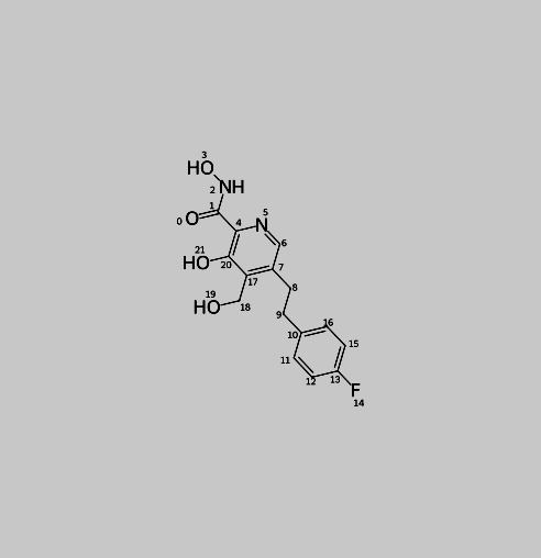 O=C(NO)c1ncc(CCc2ccc(F)cc2)c(CO)c1O